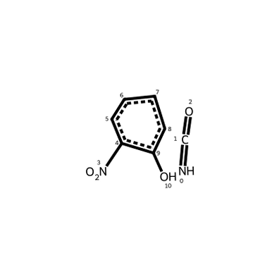 N=C=O.O=[N+]([O-])c1ccccc1O